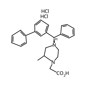 CC1CN([C@H](c2ccccc2)c2cccc(-c3ccccc3)c2)CCN1CC(=O)O.Cl.Cl